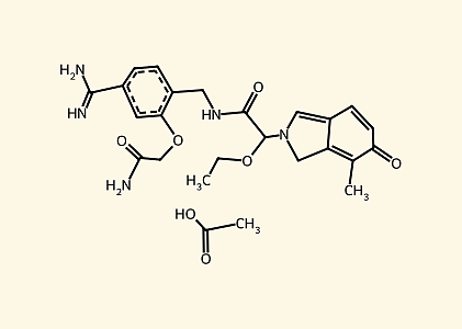 CC(=O)O.CCOC(C(=O)NCc1ccc(C(=N)N)cc1OCC(N)=O)N1C=C2C=CC(=O)C(C)=C2C1